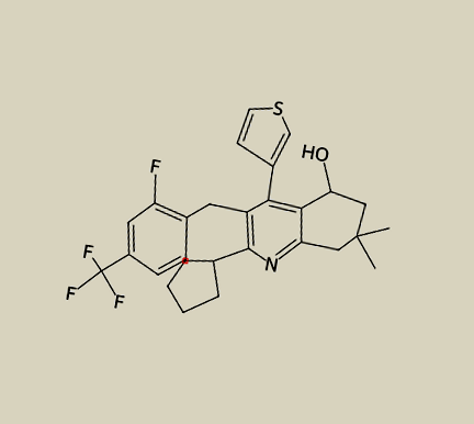 CC1(C)Cc2nc(C3CCCC3)c(Cc3ccc(C(F)(F)F)cc3F)c(-c3ccsc3)c2C(O)C1